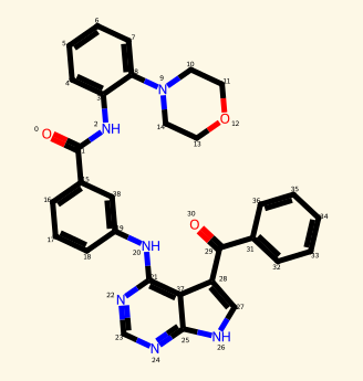 O=C(Nc1ccccc1N1CCOCC1)c1cccc(Nc2ncnc3[nH]cc(C(=O)c4ccccc4)c23)c1